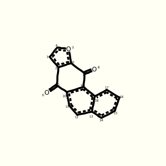 O=C1c2ccoc2C(=O)c2c1ccc1ccccc21